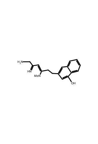 CN/C(=C\C(=N)CN)CCc1cc(O)c2ccccc2c1